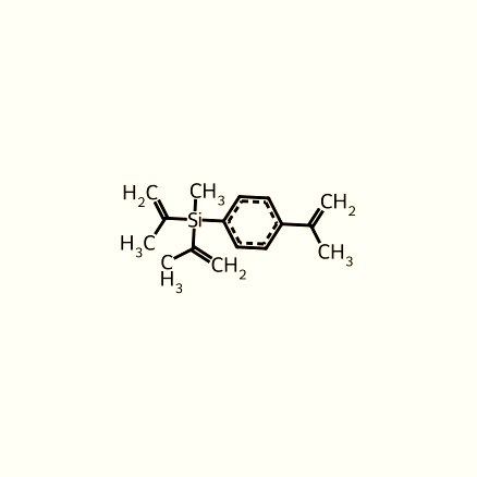 C=C(C)c1ccc([Si](C)(C(=C)C)C(=C)C)cc1